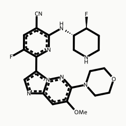 COc1cc2ncc(-c3nc(N[C@H]4CNCC[C@@H]4F)c(C#N)cc3F)n2nc1N1CCOCC1